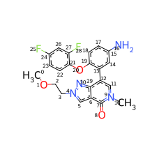 COCCn1cc2c(=O)n(C)cc(-c3cc(N)ccc3Oc3ccc(F)cc3F)c2n1